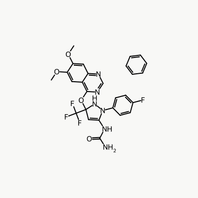 COc1cc2ncnc(OC3(C(F)(F)F)C=C(NC(N)=O)N(c4ccc(F)cc4)N3)c2cc1OC.c1ccccc1